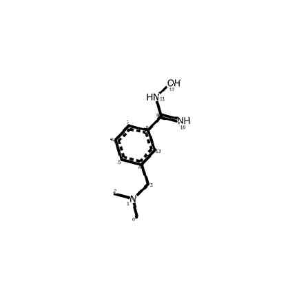 CN(C)Cc1cccc(C(=N)NO)c1